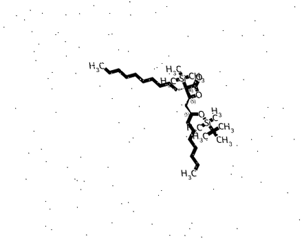 CCCCCCCCCC[C@]1([Si](C)(C)C)C(=O)O[C@H]1C[C@H](CCCCCCC)O[Si](C)(C)C(C)(C)C